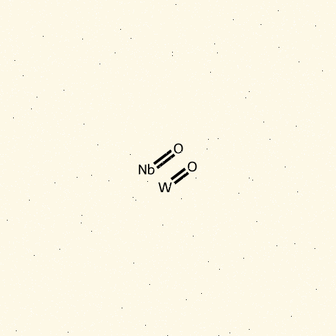 [O]=[Nb].[O]=[W]